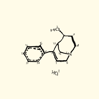 Cl.OC1CCN2CC=C(c3ccccc3)C1C2